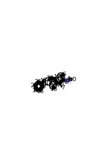 C/C=C/[C@H](OC)[C@@H](C)[C@@H](OC)[C@@H](C)COCc1ccccc1